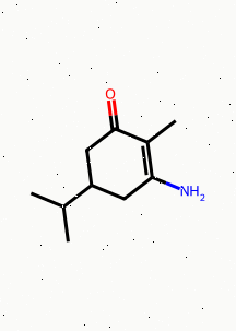 CC1=C(N)CC(C(C)C)CC1=O